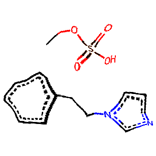 COS(=O)(=O)O.c1ccc(CCn2ccnc2)cc1